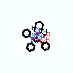 O=C(O)[C@@H]1[C@H]2CCC[C@@H](CN1C(=O)N(c1ccccc1)c1ccccc1)N2c1nccc(-c2ccccc2)n1